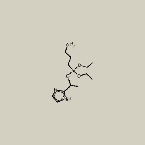 CCO[Si](CCCN)(OCC)OC(C)c1ncc[nH]1